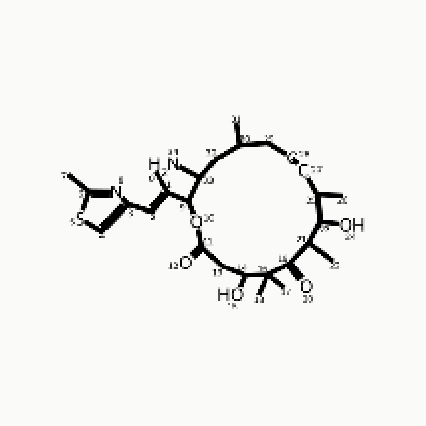 C/C(=C\c1csc(C)n1)C1OC(=O)CC(O)C(C)(C)C(=O)C(C)C(O)C(C)CCCC(C)CC1N